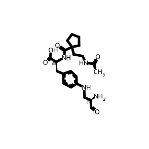 CC(=O)NCCC1(C(=O)N[C@@H](Cc2ccc(NC[C@@H](N)C=O)cc2)C(=O)O)CCCC1